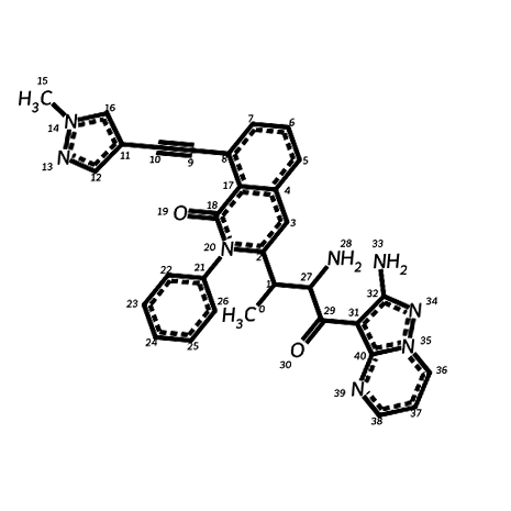 CC(c1cc2cccc(C#Cc3cnn(C)c3)c2c(=O)n1-c1ccccc1)C(N)C(=O)c1c(N)nn2cccnc12